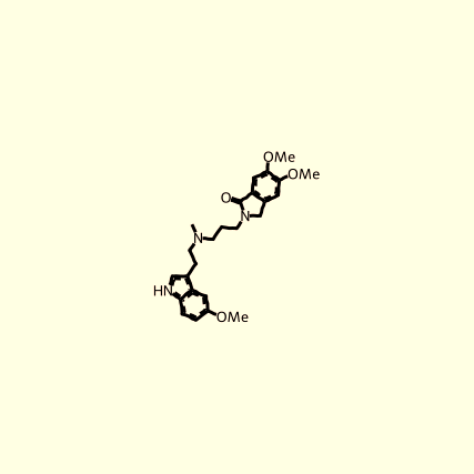 COc1ccc2[nH]cc(CCN(C)CCCN3Cc4cc(OC)c(OC)cc4C3=O)c2c1